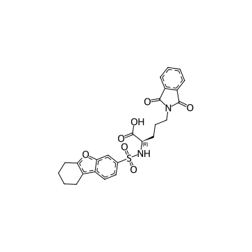 O=C(O)[C@@H](CCCN1C(=O)c2ccccc2C1=O)NS(=O)(=O)c1ccc2c3c(oc2c1)CCCC3